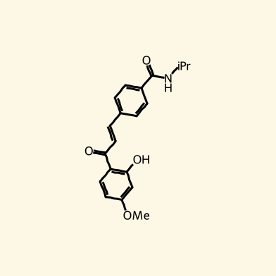 COc1ccc(C(=O)/C=C/c2ccc(C(=O)NC(C)C)cc2)c(O)c1